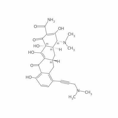 CN(C)CC#Cc1ccc(O)c2c1C[C@H]1C[C@@H]3[C@@H](N(C)C)C(O)=C(C(N)=O)C(=O)[C@]3(O)C(O)=C1C2=O